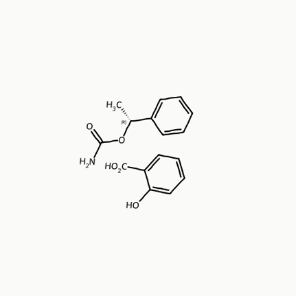 C[C@@H](OC(N)=O)c1ccccc1.O=C(O)c1ccccc1O